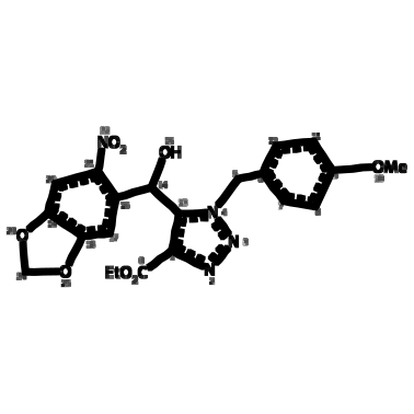 CCOC(=O)c1nnn(Cc2ccc(OC)cc2)c1C(O)c1cc2c(cc1[N+](=O)[O-])OCO2